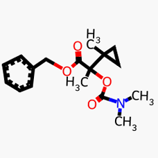 CN(C)C(=O)OC(C)(C(=O)OCc1ccccc1)C1(C)CC1